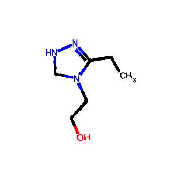 CCC1=NNCN1CCO